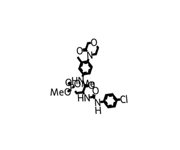 COP(=O)(CC(NC(=O)Nc1ccc(Cl)cc1)C(=O)Nc1ccc(N2CCOCC2=O)c(C)c1)OC